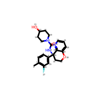 Cc1ccc([C@@]2(NC(=O)N3CCC(O)CC3)CCOc3cccnc32)cc1F